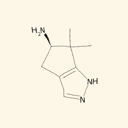 CC1(C)c2[nH]ncc2C[C@H]1N